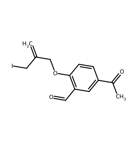 C=C(CI)COc1ccc(C(C)=O)cc1C=O